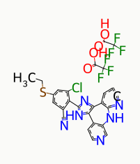 CCSc1cc(Cl)c(-c2nc3c([nH]2)-c2ccncc2Nc2ncccc2-3)c(C#N)c1.O=C(O)C(F)(F)F.O=C(O)C(F)(F)F